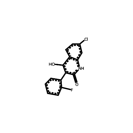 O=c1[nH]c2cc(Cl)ccc2c(O)c1-c1ccccc1F